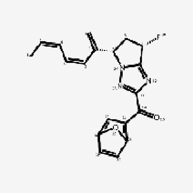 C=C(/C=C\C=C/C)[C@@H]1C[C@H](F)c2nc(C(=O)c3cc4ccc3o4)nn21